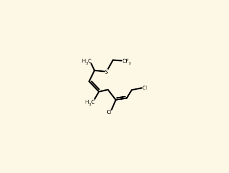 C/C(=C/C(C)SCC(F)(F)F)C/C(Cl)=C\CCl